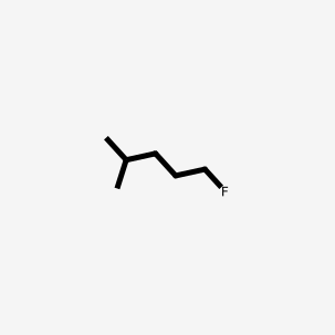 CC(C)CCCF